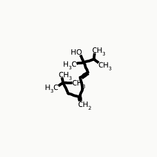 C=C(CC=CC(C)(O)C(C)C)CC(C)(C)C